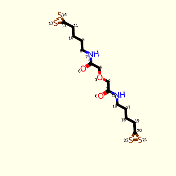 O=C(COCC(=O)NCCCCC1SS1)NCCCCC1SS1